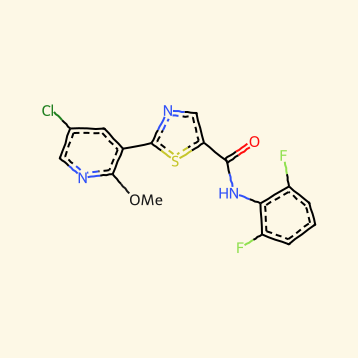 COc1ncc(Cl)cc1-c1ncc(C(=O)Nc2c(F)cccc2F)s1